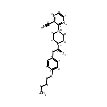 CCCCOc1ccc(CC(=O)N2CCN(c3nccnc3C#N)CC2)cc1